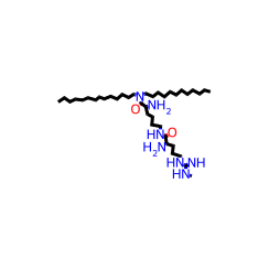 CCCCCCCCCCCCCCN(CCCCCCCCCCCC)C(=O)C(N)CCCCNC(=O)C(N)CCCNC(=N)NC